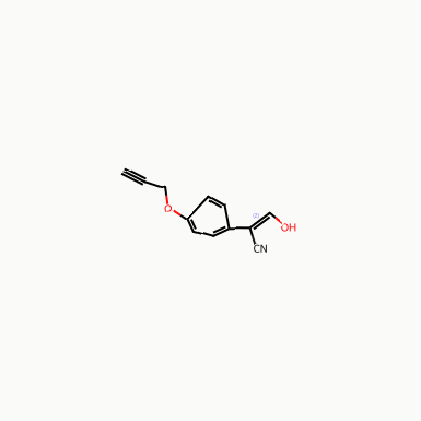 C#CCOc1ccc(/C(C#N)=C/O)cc1